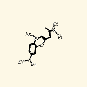 CCN(CC)/C(C)=C/C1=CN(C(C)=O)c2ccc(N(CC)CC)cc2O1